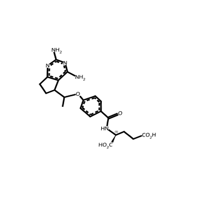 CC(Oc1ccc(C(=O)N[C@@H](CCC(=O)O)C(=O)O)cc1)C1CCc2nc(N)nc(N)c21